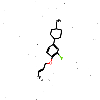 CCCC1CCC(c2ccc(OC/C=C/C(F)(F)F)c(F)c2)CC1